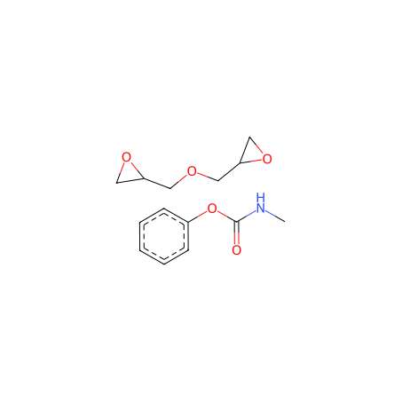 C(OCC1CO1)C1CO1.CNC(=O)Oc1ccccc1